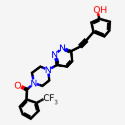 O=C(c1ccccc1C(F)(F)F)N1CCN(c2ccc(C#Cc3cccc(O)c3)nn2)CC1